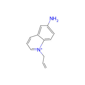 C=CC[n+]1cccc2cc(N)ccc21